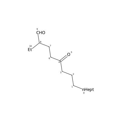 CCCCCCCCCCC(=O)CCC(C=O)CC